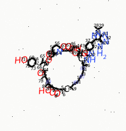 CO[C@H]1C(=O)[C@H](C)C[C@H](C)/C=C/C=C/C=C(/C)[C@@H](Nc2nc3cc(-c4nn(C(C)C)c5ncnc(N)c45)ccc3o2)C[C@@H]2CC[C@@H](C)[C@@](O)(O2)C(=O)C(=O)N2CCCC[C@H]2C(=O)O[C@H](C(C)C[C@H]2CC[C@@H](O)CC2)CC(=O)[C@H](C)/C=C(\C)[C@H]1O